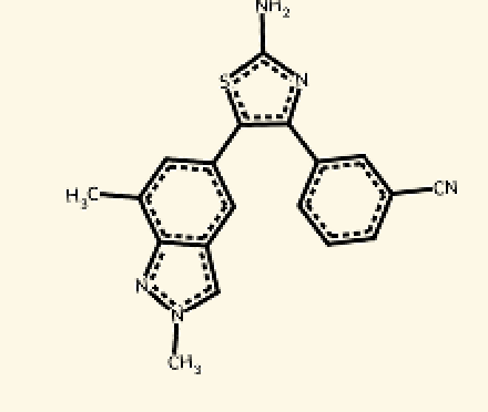 Cc1cc(-c2sc(N)nc2-c2cccc(C#N)c2)cc2cn(C)nc12